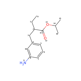 CCC(Cc1cccc(N)c1)C(=O)OC(C)C